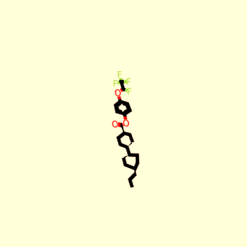 CCC[C@H]1CC[C@H]([C@H]2CC[C@H](C(=O)Oc3ccc(OC(F)C(F)(F)F)cc3)CC2)CC1